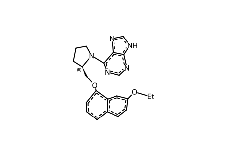 CCOc1ccc2cccc(OC[C@H]3CCCN3c3ncnc4[nH]cnc34)c2c1